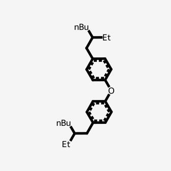 CCCCC(CC)Cc1ccc(Oc2ccc(CC(CC)CCCC)cc2)cc1